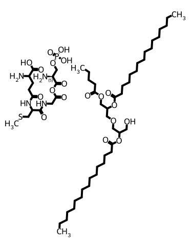 CCCCCCCCCCCCCCCC(=O)OC(CO)COCC(COC(=O)CCCC)OC(=O)CCCCCCCCCCCCCCC.CSCC(NC(=O)CCC(N)C(=O)O)C(=O)NCC(=O)OC(=O)[C@@H](N)COP(=O)(O)O